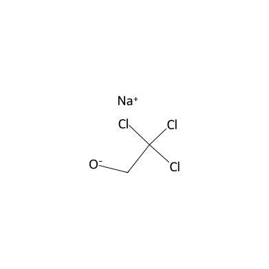 [Na+].[O-]CC(Cl)(Cl)Cl